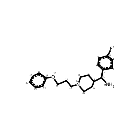 NC(c1ccc(F)cc1)C1CCN(CCCOc2ccccc2)CC1